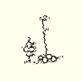 C[C@@H](CN1CC(=O)NC(=O)C1)N1CC(=O)NC(=O)C1.C[C@]12CC[C@@H]3c4ccc(O)cc4C[C@@H](CCCCCCCCC[S+]([O-])CCCC(F)(F)C(F)(F)F)[C@H]3[C@@H]1CC[C@@H]2O.Cl